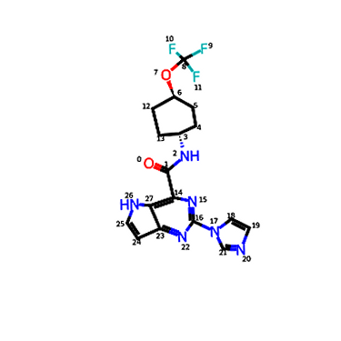 O=C(N[C@H]1CC[C@H](OC(F)(F)F)CC1)c1nc(-n2ccnc2)nc2cc[nH]c12